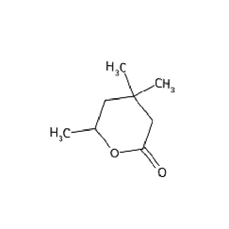 CC1CC(C)(C)CC(=O)O1